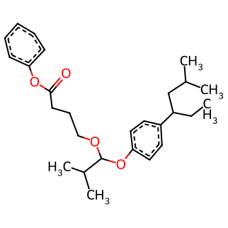 CCC(CC(C)C)c1ccc(OC(OCCCC(=O)Oc2ccccc2)C(C)C)cc1